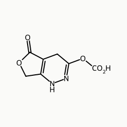 O=C(O)OC1=NNC2=C(C1)C(=O)OC2